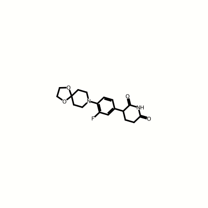 O=C1CCC(c2ccc(N3CCC4(CC3)OCCO4)c(F)c2)C(=O)N1